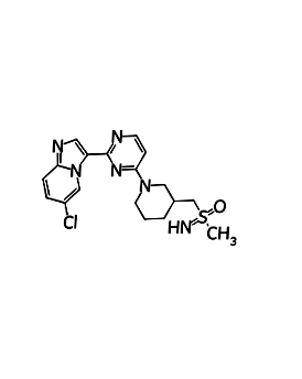 CS(=N)(=O)CC1CCCN(c2ccnc(-c3cnc4ccc(Cl)cn34)n2)C1